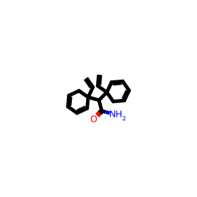 C=CC1(C(C(N)=O)C2(C=C)C=CC=CC2)C=CC=CC1